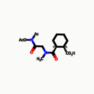 CC(=O)ON(C(C)=O)C(=O)CN(C)C(=O)[C@H]1CCCC[C@H]1C(=O)O